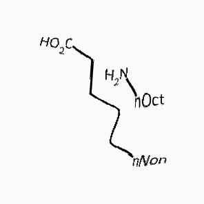 CCCCCCCCCCCCCC(=O)O.CCCCCCCCN